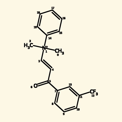 C[N+](C)(C=CC(=O)c1cccc(C(F)(F)F)c1)c1ccccc1